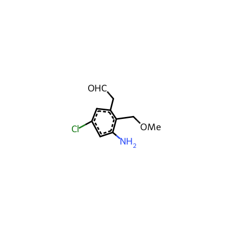 COCc1c(N)cc(Cl)cc1CC=O